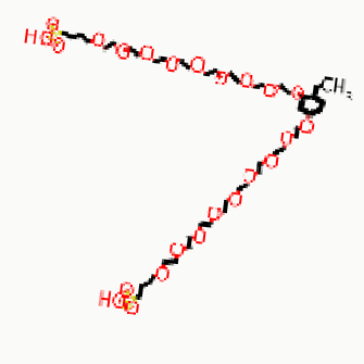 CCc1ccc(OCCOCCOCCOCCOCCOCCOCCOCCOCCCCS(=O)(=O)O)cc1OCCOCCOCCOCCOCCOCCOCCOCCOCCCCS(=O)(=O)O